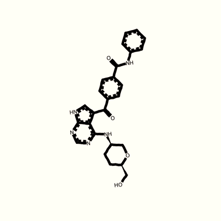 O=C(Nc1ccccc1)c1ccc(C(=O)c2c[nH]c3ncnc(N[C@@H]4CC[C@H](CO)OC4)c23)cc1